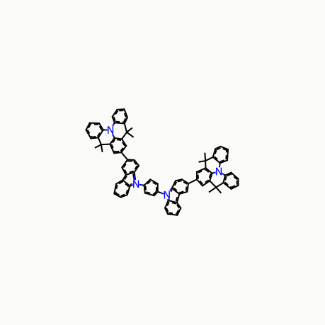 CC1(C)c2ccccc2N2c3ccccc3C(C)(C)c3cc(-c4ccc5c(c4)c4ccccc4n5-c4ccc(-n5c6ccccc6c6cc(-c7cc8c9c(c7)C(C)(C)c7ccccc7N9c7ccccc7C8(C)C)ccc65)cc4)cc1c32